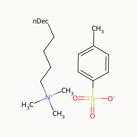 CCCCCCCCCCCCCC[N+](C)(C)C.Cc1ccc(S(=O)(=O)[O-])cc1